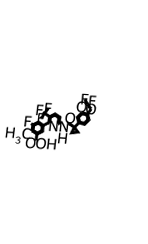 Cc1c(F)cc(-c2nc(NC(=O)C3(c4ccc5c(c4)OC(F)(F)O5)CC3)ccc2C(F)(F)F)cc1C(=O)O